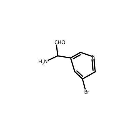 NC(C=O)c1cncc(Br)c1